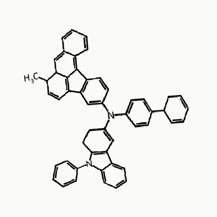 CC1C=CC2=C3C(=c4ccccc4=CC31)c1ccc(N(C3=Cc4c(n(-c5ccccc5)c5ccccc45)CC3)c3ccc(C4C=CC=CC4)cc3)cc12